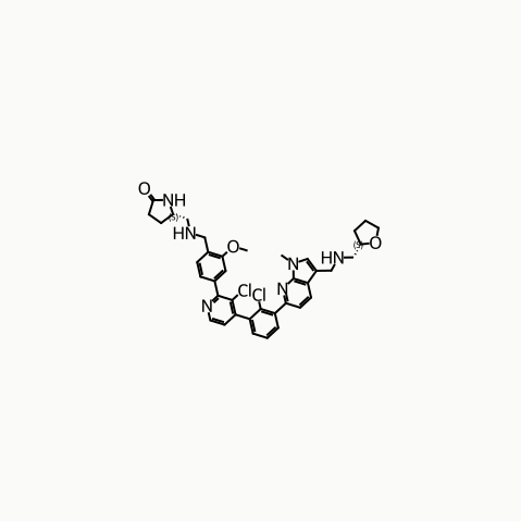 COc1cc(-c2nccc(-c3cccc(-c4ccc5c(CNC[C@@H]6CCCO6)cn(C)c5n4)c3Cl)c2Cl)ccc1CNC[C@@H]1CCC(=O)N1